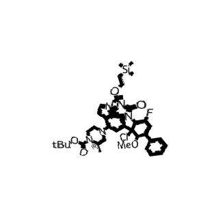 COC1C(c2ccccc2)=CC(F)=C(n2ccn(C)c2=O)C1(Cl)c1cc(N2CCN(C(=O)OC(C)(C)C)[C@H](C)C2)c2ccn(COCC[Si](C)(C)C)c2c1